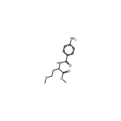 COC(=O)C(CCSC)NC(=O)c1ccc(N)cc1